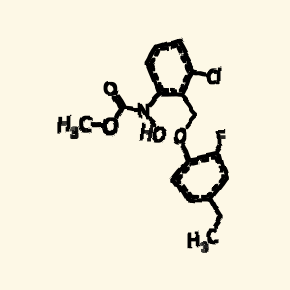 CCc1ccc(OCc2c(Cl)cccc2N(O)C(=O)OC)c(F)c1